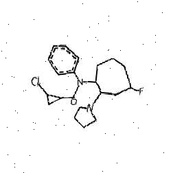 O=C(C1CC1Cl)N(c1ccccc1)C1CCCC(F)CC1N1CCCC1